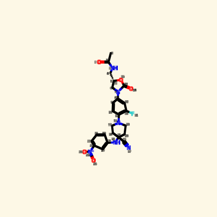 CC(=O)NC[C@H]1CN(c2ccc(N3CCC(C#N)(Nc4cccc([N+](=O)[O-])c4)CC3)c(F)c2)C(=O)O1